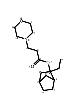 CCC1(OC(=O)CCN2CCOCC2)CC2CCC1C2